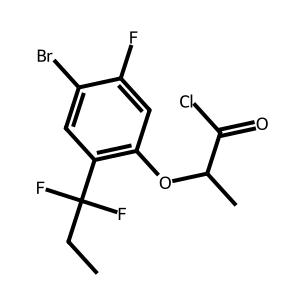 CCC(F)(F)c1cc(Br)c(F)cc1OC(C)C(=O)Cl